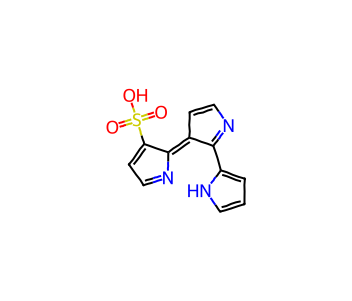 O=S(=O)(O)C1=CC=NC1=C1C=CN=C1c1ccc[nH]1